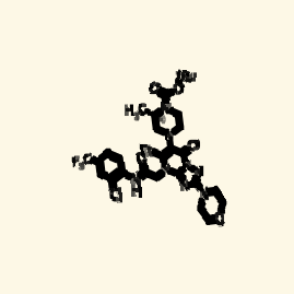 CCc1c(N2CCN(C(=O)OC(C)(C)C)[C@H](C)C2)c(=O)n2nc(N3CCOCC3)nc2n1CC(=O)Nc1ccc(C(F)(F)F)cc1Cl